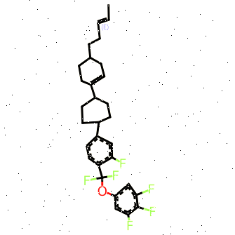 C/C=C/CCC1CC=C(C2CCC(c3ccc(C(F)(F)Oc4cc(F)c(F)c(F)c4)c(F)c3)CC2)CC1